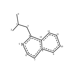 CC(C)Cc1n[c]cc2ccccc12